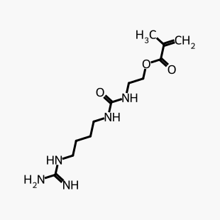 C=C(C)C(=O)OCCNC(=O)NCCCCNC(=N)N